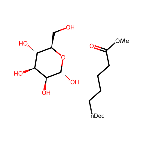 CCCCCCCCCCCCCCC(=O)OC.OC[C@H]1O[C@H](O)[C@@H](O)[C@@H](O)[C@@H]1O